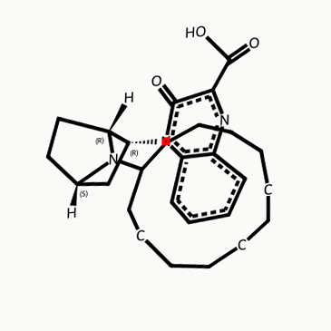 O=C(O)c1nc2ccccc2n([C@@H]2C[C@@H]3CC[C@H]2N3C2CCCCCCCCCCC2)c1=O